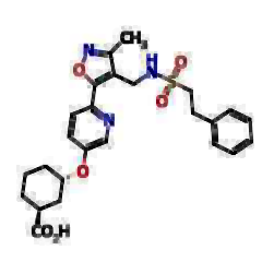 Cc1noc(-c2ccc(O[C@H]3CCC[C@H](C(=O)O)C3)cn2)c1CNS(=O)(=O)CCc1ccccc1